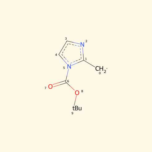 [CH2]c1nccn1C(=O)OC(C)(C)C